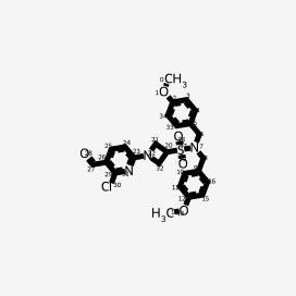 COc1ccc(CN(Cc2ccc(OC)cc2)S(=O)(=O)C2CN(c3ccc(C=O)c(Cl)n3)C2)cc1